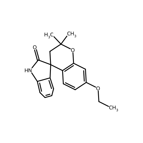 CCOc1ccc2c(c1)OC(C)(C)CC21C(=O)Nc2ccccc21